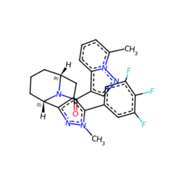 Cc1cccc2c(C(=O)N3[C@@H]4CCC[C@H]3c3nn(C)c(-c5cc(F)c(F)c(F)c5)c3C4)cnn12